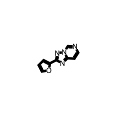 c1coc(-c2nc3ccncn3n2)c1